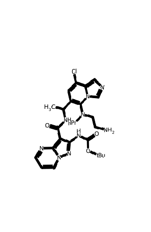 CCCN(CCN)c1c(C(C)NC(=O)c2c(NC(=O)OC(C)(C)C)nn3cccnc23)cc(Cl)c2cncn12